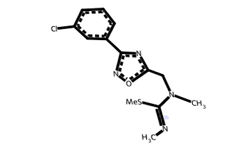 C/N=C(\SC)N(C)Cc1nc(-c2cccc(Cl)c2)no1